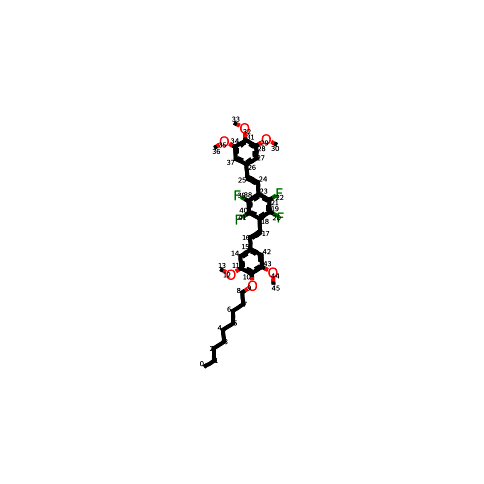 CCCCCCCCCOc1c(OC)cc(/C=C/c2c(F)c(F)c(/C=C/c3cc(OC)c(OC)c(OC)c3)c(F)c2F)cc1OC